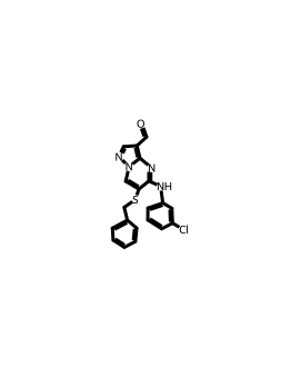 O=Cc1cnn2cc(SCc3ccccc3)c(Nc3cccc(Cl)c3)nc12